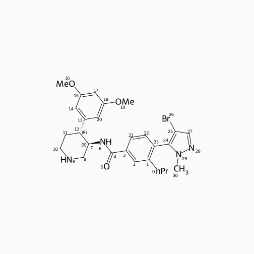 CCCc1cc(C(=O)N[C@H]2CNCC[C@@H]2c2cc(OC)cc(OC)c2)ccc1-c1c(Br)cnn1C